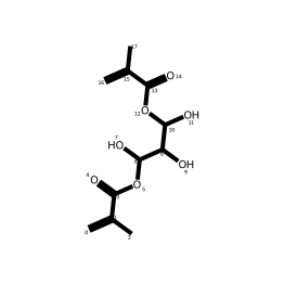 C=C(C)C(=O)OC(O)C(O)C(O)OC(=O)C(=C)C